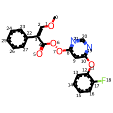 COC=C(C(=O)OOc1cc(Oc2ccccc2F)ncn1)c1ccccc1